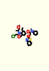 CCc1cccc(C)c1N(C(=O)CCl)C(C)COC.CN(C(=O)COc1nc2ccccc2s1)c1ccccc1